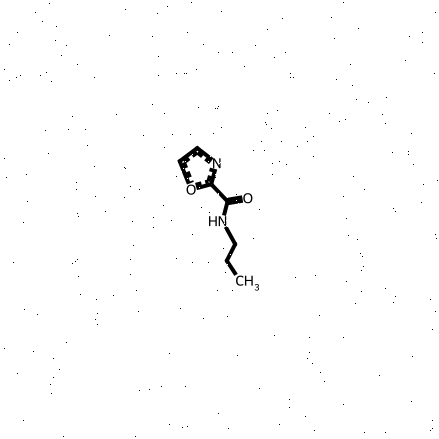 CCCNC(=O)c1ncco1